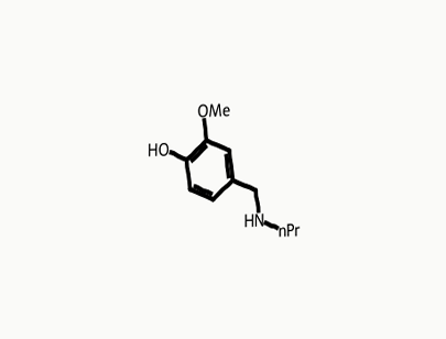 CCCNCc1ccc(O)c(OC)c1